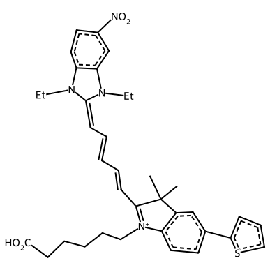 CCN1/C(=C/C=C/C=C/C2=[N+](CCCCCC(=O)O)c3ccc(-c4cccs4)cc3C2(C)C)N(CC)c2cc([N+](=O)[O-])ccc21